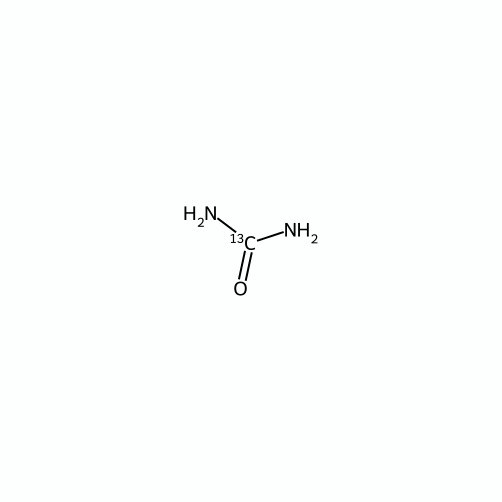 N[13C](N)=O